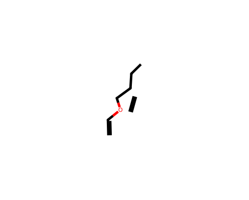 C=C.C=COCCCC